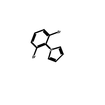 Brc1cccc(Br)c1-n1c[c]cc1